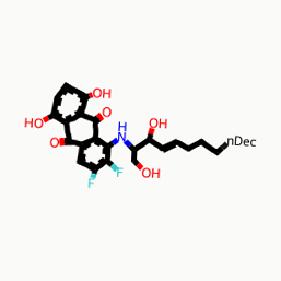 CCCCCCCCCCCCCC=CC(O)C(CO)Nc1c(F)c(F)cc2c1C(=O)c1c(O)ccc(O)c1C2=O